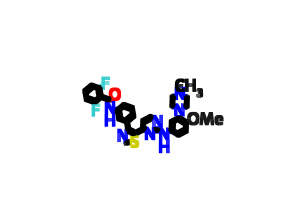 COc1ccc(Nc2nccc(-c3scnc3-c3cccc(NC(=O)c4c(F)cccc4F)c3)n2)cc1N1CCN(C)CC1